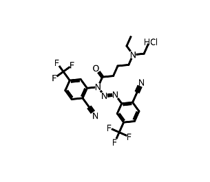 CCN(CC)CCCC(=O)N(/N=N/c1cc(C(F)(F)F)ccc1C#N)c1cc(C(F)(F)F)ccc1C#N.Cl